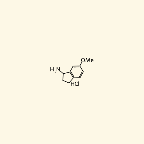 COc1ccc2c(c1)C(N)CC2.Cl